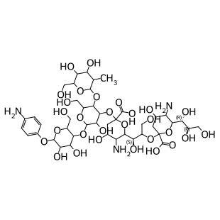 CC1C(OC2C(CO)OC(OC3C(CO)OC(Oc4ccc(N)cc4)C(O)C3O)C(O)C2OC2(C(=O)O)CC(O)C(N)C([C@H](O)C(CO)OC3(C(=O)O)CC(O)C(N)C([C@H](O)[C@H](O)CO)O3)O2)OC(CO)C(O)C1O